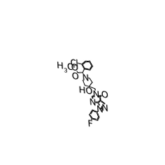 COC(=O)C(c1ccccc1Cl)N1CCC(O)(Cn2cnc3c(cnn3-c3ccc(F)cc3)c2=O)CC1